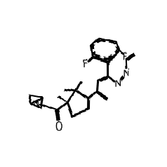 C=C/N=N\C(=C/C(=C)C1CC[C@](C)(C(=O)N2CC3CC2C3)C1(C)C)c1c(F)cccc1F